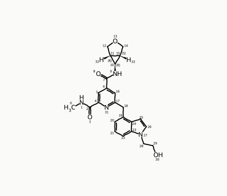 CNC(=O)c1cc(C(=O)N[C@H]2[C@@H]3COC[C@@H]32)cc(Cc2cccc3c2ccn3CCO)n1